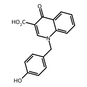 O=C(O)c1cn(Cc2ccc(O)cc2)c2ccccc2c1=O